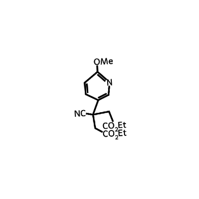 CCOC(=O)CC(C#N)(CC(=O)OCC)c1ccc(OC)nc1